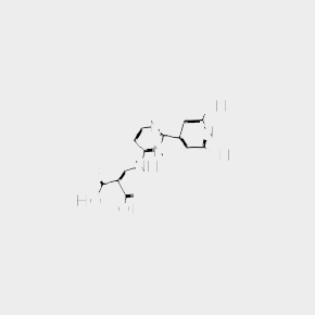 Cc1cc(-c2nccc(NC=C(C(=O)O)C(=O)O)n2)cc(C)n1